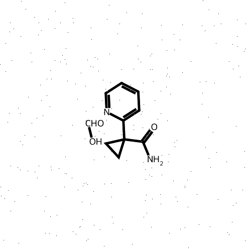 NC(=O)C1(c2ccccn2)CC1.O=CO